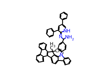 CC1(C)c2c(c3ccccc3c3ccccc23)-c2ccc3c4ccccc4n(-c4ccc(C(N)/N=c5\[nH]cc(-c6ccccc6)cc5-c5ccccc5)cc4)c3c21